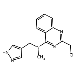 CN(Cc1cn[nH]c1)c1nc(CCl)nc2ccccc12